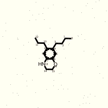 CCCCc1cc2c(cc1CCC)NCCO2